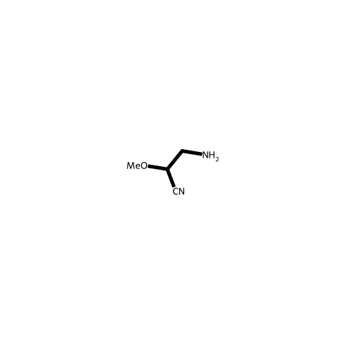 COC(C#N)CN